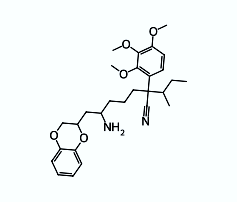 CCC(C)C(C#N)(CCCC(N)CC1COc2ccccc2O1)c1ccc(OC)c(OC)c1OC